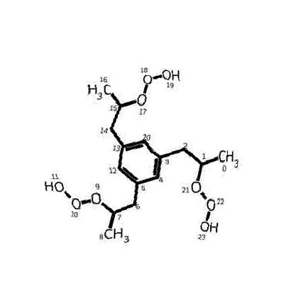 CC(Cc1cc(CC(C)OOO)cc(CC(C)OOO)c1)OOO